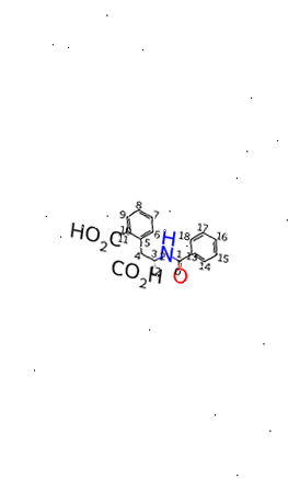 O=C(N[C@@H](Cc1ccccc1C(=O)O)C(=O)O)c1ccccc1